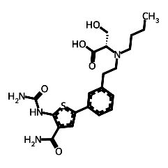 CCCCN(CCc1cccc(-c2cc(C(N)=O)c(NC(N)=O)s2)c1)[C@@H](CO)C(=O)O